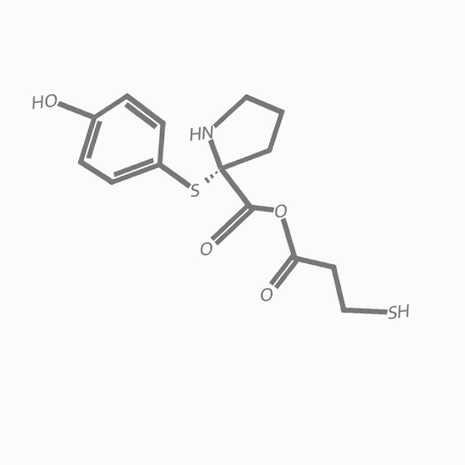 O=C(CCS)OC(=O)[C@]1(Sc2ccc(O)cc2)CCCN1